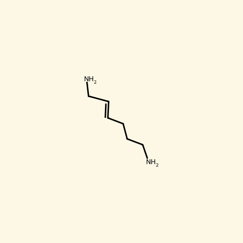 NCC=CCCCN